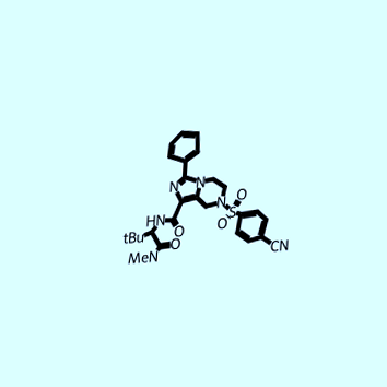 CNC(=O)C(NC(=O)c1nc(-c2ccccc2)n2c1CN(S(=O)(=O)c1ccc(C#N)cc1)CC2)C(C)(C)C